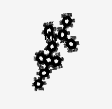 c1ccc(-c2ccc(-c3c4ccccc4c(-c4ccc(N(c5cc(-c6ccccc6)cc(-c6ccccc6)c5)c5ccccn5)cc4)c4ccccc34)cc2)cc1